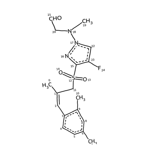 CC(=Cc1ccc(C)cc1C)CS(=O)(=O)c1nn(N(C)CC=O)cc1F